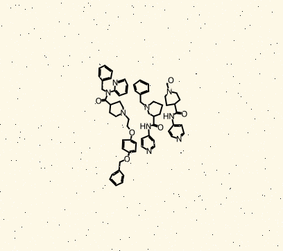 O=C(C1CCN(CCOc2ccc(OCc3ccccc3)cc2)CC1)N(Cc1ccccc1)c1ccccn1.O=C(Nc1ccncc1)C1CCCN(Cc2ccccc2)C1.O=CN1CCC(C(=O)Nc2ccncc2)CC1